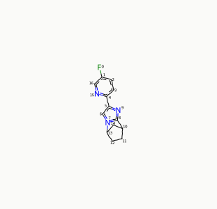 Fc1ccc(-c2cn3c(n2)C2CCC3C2)nc1